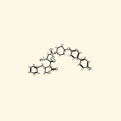 CC(C)[C@@H](CS(=O)(=O)N1CCC(Oc2ccc(-c3ccc(F)cc3)cn2)CC1)C(=O)N1C(=O)OC[C@H]1Cc1ccccc1